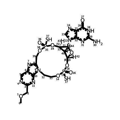 COCc1ncc2nc3n(c2n1)CCOP(=O)(S)O[C@H]1O[C@@H](n2cnc4c(=O)[nH]c(N)nc42)[C@H](OP(=O)(S)OC3)[C@@H]1F